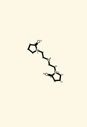 O=C1CCCN1CC[N]CCN1CCCC1=O